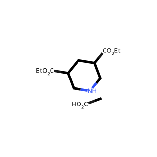 CC(=O)O.CCOC(=O)C1CNCC(C(=O)OCC)C1